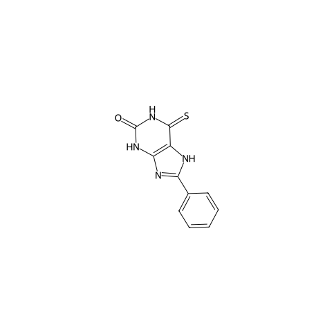 O=c1[nH]c(=S)c2[nH]c(-c3ccccc3)nc2[nH]1